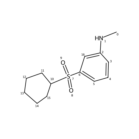 CNc1cccc(S(=O)(=O)C2CCCCC2)c1